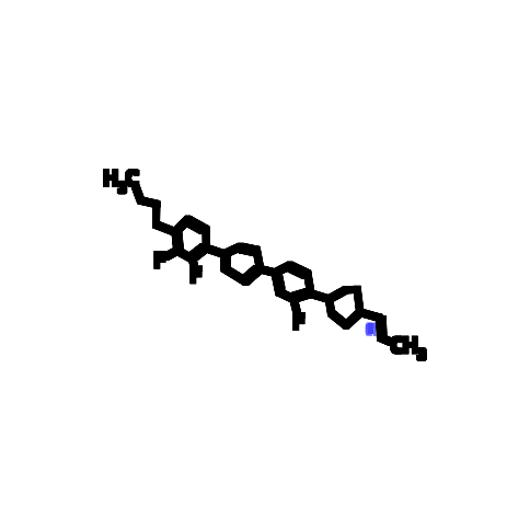 C/C=C/C1CCC(c2ccc(-c3ccc(-c4ccc(CCCC)c(F)c4F)cc3)cc2F)CC1